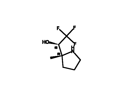 C[C@]1([C@H](O)C(F)(F)F)CCCN1